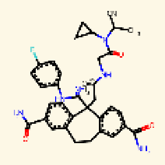 CC(C#N)N(C(=O)CN[C@H](C)CC1(C(=N)Nc2ccc(F)cc2)c2ccc(C(N)=O)cc2CCc2cc(C(N)=O)ccc21)C1CC1